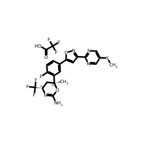 CSc1cnc(-c2cc(-c3ccc(F)c([C@]4(C)C[C@@H](C(F)(F)F)N=C(N)O4)c3)on2)nc1.O=C(O)C(F)(F)F